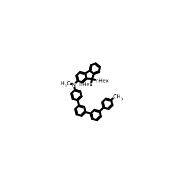 CCCCCCC1(CCCCCC)c2ccccc2-c2ccc(N(C)c3ccc(-c4cccc(-c5cccc(-c6ccc(C)cc6)c5)c4)cc3)cc21